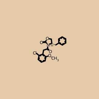 COc1cccc(Cl)c1CC(=O)N1C(=O)OC[C@@H]1Cc1ccccc1